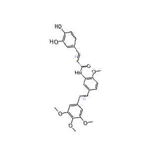 COc1ccc(/C=C/c2cc(OC)c(OC)c(OC)c2)cc1NC(=O)/C=C/c1ccc(O)c(O)c1